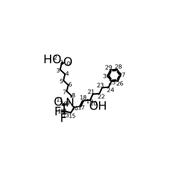 O=C(O)CCCCCCN1C(=O)C(F)(F)C[C@@H]1C=C[C@@H](O)CCCCc1ccccc1